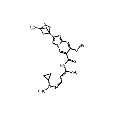 C/C(=C\C=N/N(C=O)C1CC1)NC(=O)c1cn2cc(C34COC(C)(C3)C4)nc2cc1OC(C)C